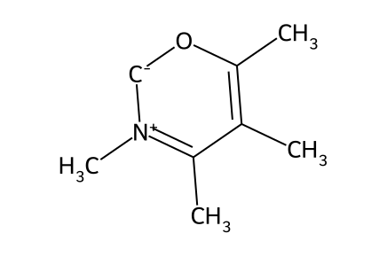 CC1=C(C)C(C)=[N+](C)[CH-]O1